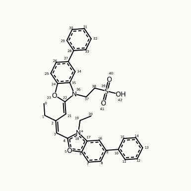 CCC(=Cc1oc2ccc(-c3ccccc3)cc2[n+]1CC)C=C1Oc2ccc(-c3ccccc3)cc2N1CCS(=O)(=O)O